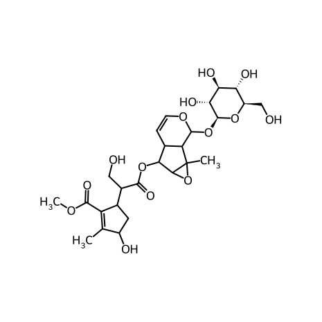 COC(=O)C1=C(C)C(O)CC1C(CO)C(=O)OC1C2C=COC(O[C@@H]3O[C@H](CO)[C@@H](O)[C@H](O)[C@H]3O)C2C2(C)OC12